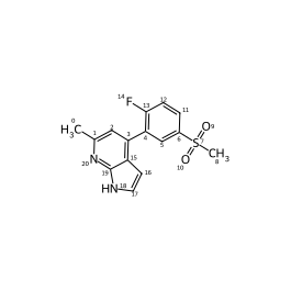 Cc1cc(-c2cc(S(C)(=O)=O)ccc2F)c2cc[nH]c2n1